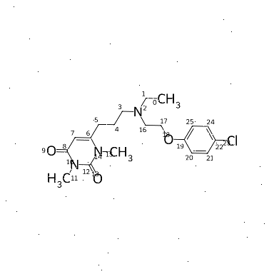 CCN(CCCc1cc(=O)n(C)c(=O)n1C)CCOc1ccc(Cl)cc1